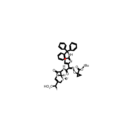 CC(C)(C)OC(=O)C1(O/N=C(\C(=O)NC2C(=O)N3C=C(C(I)C(=O)O)C[S+]([O-])[C@@H]23)c2csc(NC(c3ccccc3)(c3ccccc3)c3ccccc3)n2)CC1